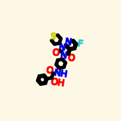 O=C(NC1CCC(n2c(=O)c3cc(F)cnc3n(C3CCSCC3)c2=O)CC1)[C@@H](O)c1ccccc1